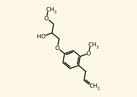 C=CCc1ccc(OCC(O)COC)cc1OC